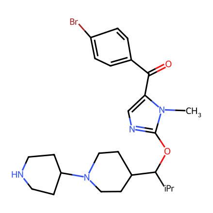 CC(C)C(Oc1ncc(C(=O)c2ccc(Br)cc2)n1C)C1CCN(C2CCNCC2)CC1